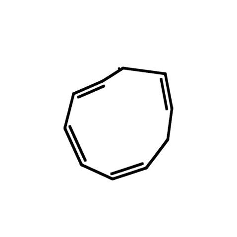 [CH]1/C=C\C\C=C/C=C\C=C\1